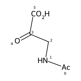 CC(=O)NCC(=O)C(=O)O